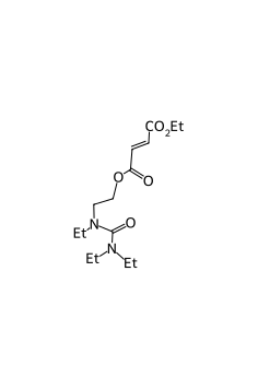 CCOC(=O)/C=C/C(=O)OCCN(CC)C(=O)N(CC)CC